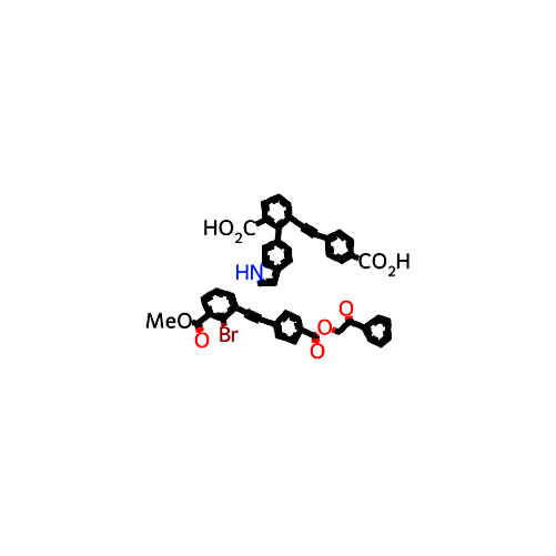 COC(=O)c1cccc(C#Cc2ccc(C(=O)OCC(=O)c3ccccc3)cc2)c1Br.O=C(O)c1ccc(C#Cc2cccc(C(=O)O)c2-c2ccc3cc[nH]c3c2)cc1